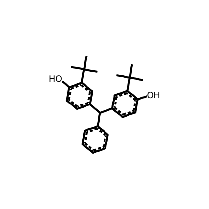 CC(C)(C)c1cc(C(c2ccccc2)c2ccc(O)c(C(C)(C)C)c2)ccc1O